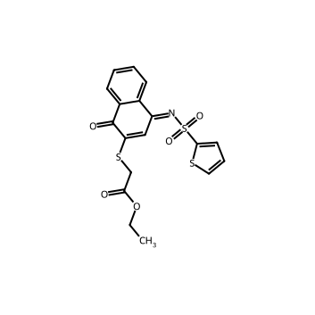 CCOC(=O)CSC1=C/C(=N\S(=O)(=O)c2cccs2)c2ccccc2C1=O